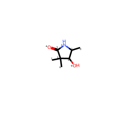 CC1NC(=O)C(C)(C)C1O